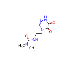 CN(C)C(=O)NCCn1[c]n[nH]c(=O)c1=O